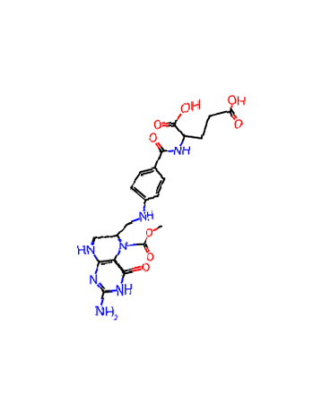 COC(=O)N1c2c(nc(N)[nH]c2=O)NCC1CNc1ccc(C(=O)NC(CCC(=O)O)C(=O)O)cc1